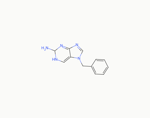 NC1N=c2ncn(Cc3ccccc3)c2=CN1